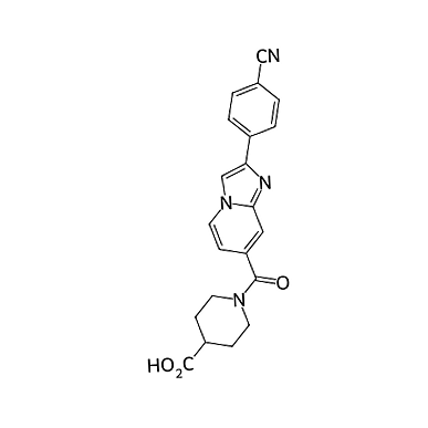 N#Cc1ccc(-c2cn3ccc(C(=O)N4CCC(C(=O)O)CC4)cc3n2)cc1